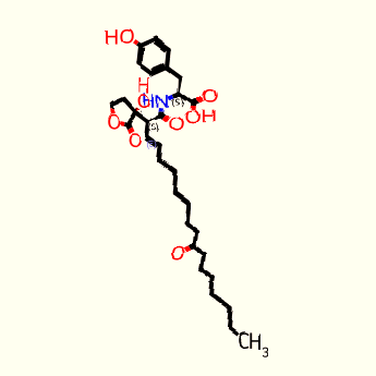 CCCCCCCC(=O)CCCCCC/C=C/[C@H](C(=O)N[C@@H](Cc1ccc(O)cc1)C(=O)O)[C@@]1(O)CCOC1=O